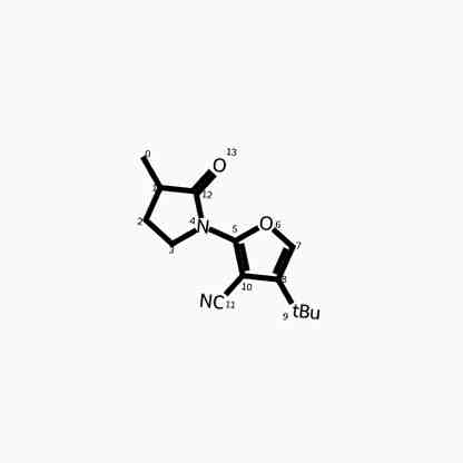 CC1CCN(c2occ(C(C)(C)C)c2C#N)C1=O